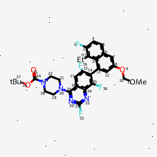 CCc1c(F)ccc2cc(OCOC)cc(-c3c(F)cc4c(N5CCN(C(=O)OC(C)(C)C)CC5)nc(F)nc4c3F)c12